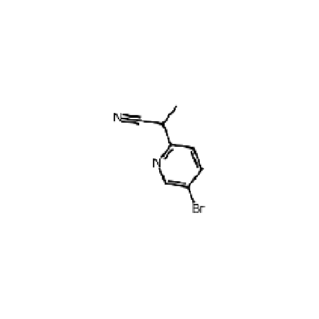 CC(C#N)c1ccc(Br)cn1